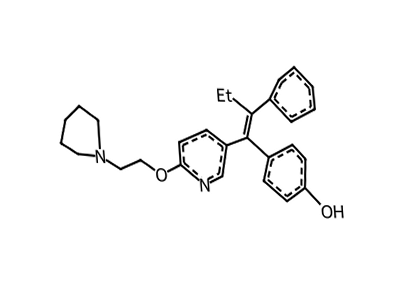 CCC(=C(c1ccc(O)cc1)c1ccc(OCCN2CCCCC2)nc1)c1ccccc1